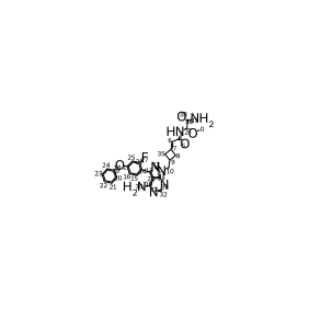 COC(NC(=O)C=C1CC(Cn2nc(-c3ccc(Oc4ccccc4)cc3F)c3c(N)ncnc32)C1)C(N)=O